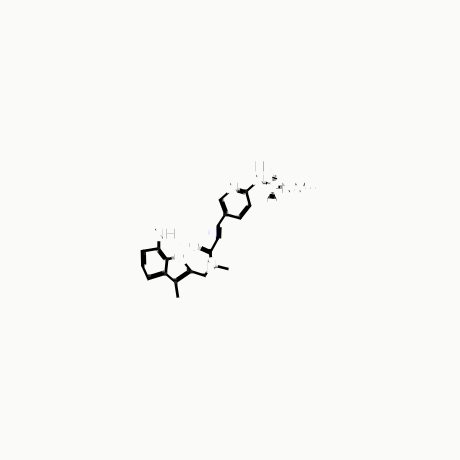 CNS(=O)(=O)Nc1ccc(/C=C/C(=O)N(C)Cc2oc3c(N)cccc3c2C)cn1